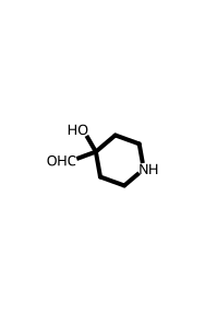 O=CC1(O)CCNCC1